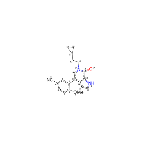 COc1ccc(C#N)cc1-c1cn(CCC2CC2)c(=O)c2[nH]ccc12